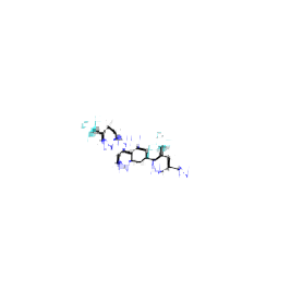 N#Cc1cnc(-c2ccc3c(Nc4ccc(C(F)(F)F)cn4)ccnc3c2)c(C(F)(F)F)c1